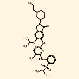 Cc1cnc(Nc2cc3c(cc2OC(C)C)CN(C2CCCN(CCO)C2)C3=O)nc1Nc1ccccc1S(=O)(=O)C(C)C